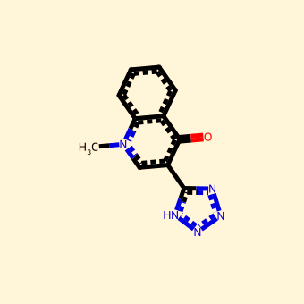 Cn1cc(-c2nnn[nH]2)c(=O)c2ccccc21